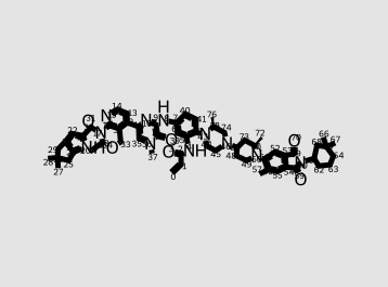 C=CC(=O)Nc1cc(Nc2nc(-c3ccnc(N4CCn5c(cc6c5CC(C)(C)C6)C4=O)c3CO)cn(C)c2=O)ccc1N1CCN(C2CCN(c3cc4c(cc3C)C(=O)N(C3CCCC(C)(C)C3)C4=O)[C@H](C)C2)C[C@@H]1C